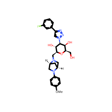 COc1ccc(N2C[C@@H]3C[C@H]2CN3C[C@@H]2O[C@H](CO)[C@H](O)[C@H](n3cc(-c4cccc(F)c4)nn3)[C@H]2O)cc1